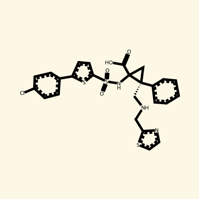 O=C(O)C1(NS(=O)(=O)c2ccc(-c3ccc(Cl)cc3)s2)C[C@@]1(CNCc1nccs1)c1ccccc1